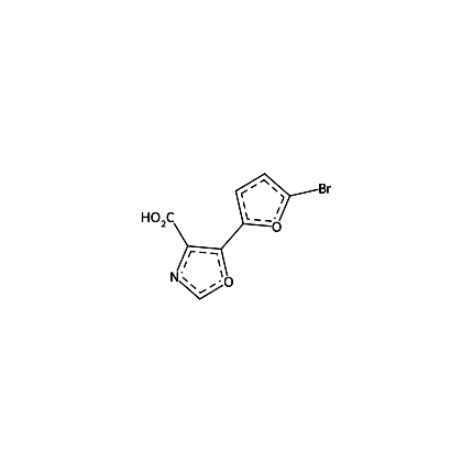 O=C(O)c1ncoc1-c1ccc(Br)o1